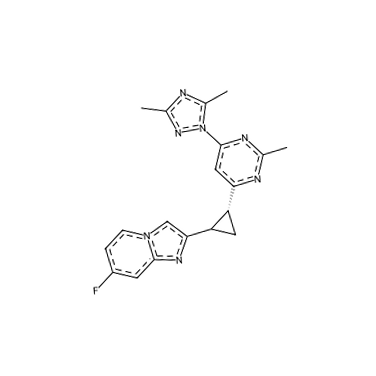 Cc1nc([C@@H]2CC2c2cn3ccc(F)cc3n2)cc(-n2nc(C)nc2C)n1